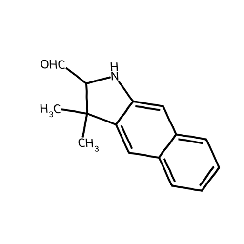 CC1(C)c2cc3ccccc3cc2NC1C=O